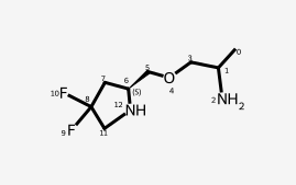 CC(N)COC[C@@H]1CC(F)(F)CN1